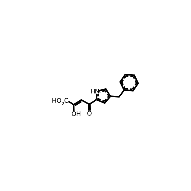 O=C(O)C(O)=CC(=O)c1cc(Cc2ccccc2)c[nH]1